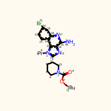 CC(C)n1c([C@H]2CCCN(C(=O)OC(C)(C)C)C2)nc2c(N)nc3cc(Br)ccc3c21